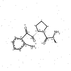 C[C@H](N)C(=O)[N+]1CCC[C@H]1C(=O)C(=O)c1ccccc1N